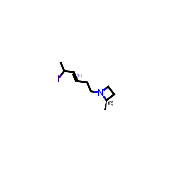 CC(I)/C=C/CCN1CC[C@H]1C